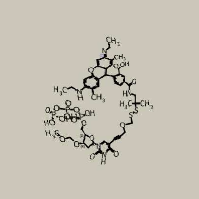 CC/N=C1/C=C2Oc3cc(NCC)c(C)cc3C(c3ccc(C(=O)NCC(C)(C)SSCOCC#Cc4cn([C@H]5C[C@@H](OCOC)[C@@H](COP(=O)(O)OP(=O)(O)OP(=O)(O)O)O5)c(=O)[nH]c4=O)cc3C(=O)O)C2C=C1C